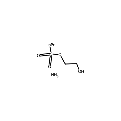 CCCS(=O)(=O)OCCO.N